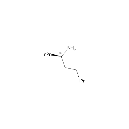 CCC[C@@H](N)CCC(C)C